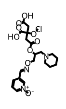 O=C(O)CC(CC(=O)OC(CON=Cc1ccc[n+]([O-])c1)CN1CCCCC1)(OCl)C(=O)O